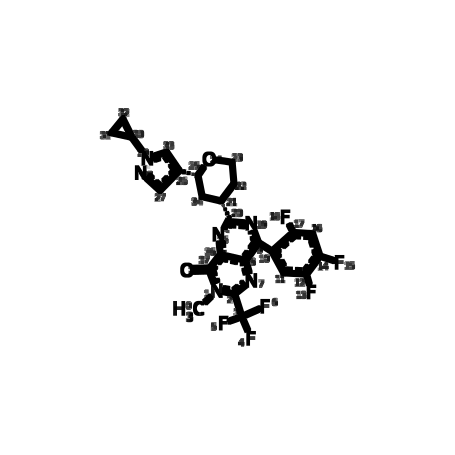 Cn1c(C(F)(F)F)nc2c(-c3cc(F)c(F)cc3F)nc([C@H]3CCO[C@@H](c4cnn(C5CC5)c4)C3)nc2c1=O